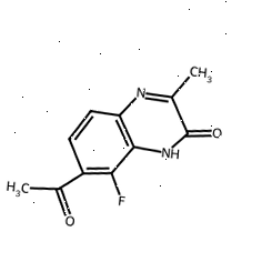 CC(=O)c1ccc2nc(C)c(=O)[nH]c2c1F